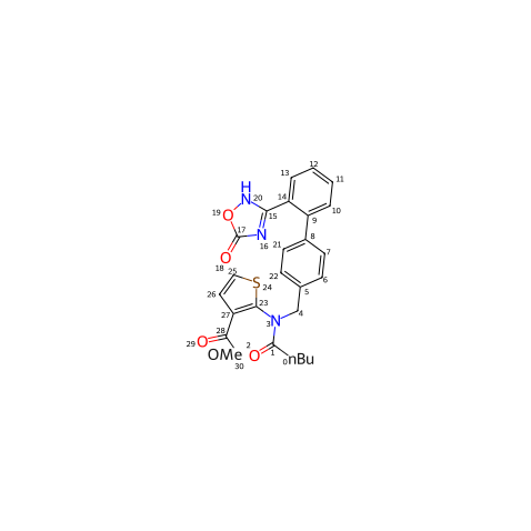 CCCCC(=O)N(Cc1ccc(-c2ccccc2-c2nc(=O)o[nH]2)cc1)c1sccc1C(=O)OC